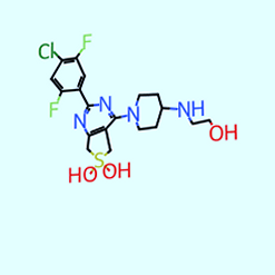 OCCNC1CCN(c2nc(-c3cc(F)c(Cl)cc3F)nc3c2CS(O)(O)C3)CC1